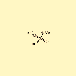 CCCS(=O)(=O)NC.Cl